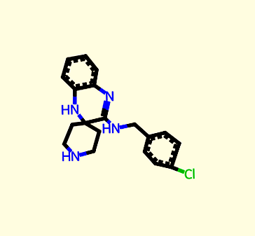 Clc1ccc(CNC2=Nc3ccccc3NC23CCNCC3)cc1